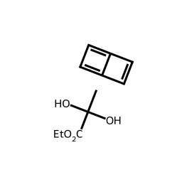 CCOC(=O)C(C)(O)O.c1cc2ccc1-2